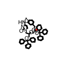 CONc1ccn(CC(COC(c2ccccc2)(c2ccccc2)c2ccccc2)OCP(=O)(OCc2ccccc2)OC(c2ccccc2)(c2ccccc2)c2ccccc2)c(=O)n1